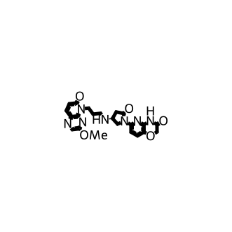 COc1cnc2ccc(=O)n(CCCN[C@@H]3CC(=O)N(c4ccc5c(n4)NC(=O)CO5)C3)c2n1